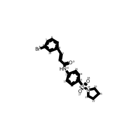 O=C(C=Cc1cccc(Br)c1)Nc1ccc(S(=O)(=O)N2CCCC2)cc1